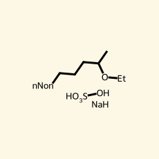 CCCCCCCCCCCCC(C)OCC.O=S(=O)(O)O.[NaH]